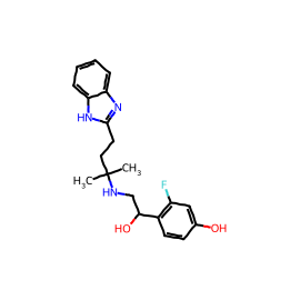 CC(C)(CCc1nc2ccccc2[nH]1)NCC(O)c1ccc(O)cc1F